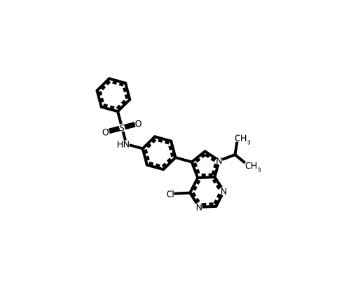 CC(C)n1cc(-c2ccc(NS(=O)(=O)c3ccccc3)cc2)c2c(Cl)ncnc21